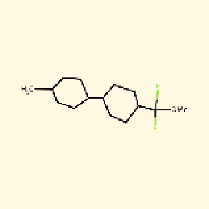 COC(F)(F)C1CCC(C2CCC(C)CC2)CC1